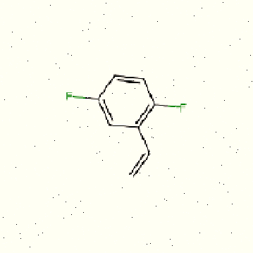 C=Cc1cc(F)ccc1F